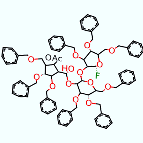 CC(=O)OC1C(COCc2ccccc2)[C@@H](OCc2ccccc2)C(OCc2ccccc2)C1[C@H](O)OC1C(OCc2ccccc2)[C@@H](OCc2ccccc2)C(COCc2ccccc2)O[C@@H]1OC1C(OCc2ccccc2)[C@H](OCc2ccccc2)C(COCc2ccccc2)O[C@@H]1F